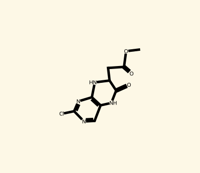 COC(=O)CC1Nc2nc(Cl)ncc2NC1=O